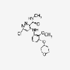 CNC(=O)c1nnc(Cl)cc1Nc1cccc(OC2CCOCC2)c1OC